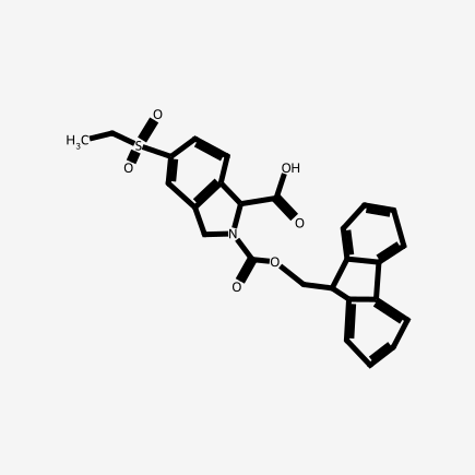 CCS(=O)(=O)c1ccc2c(c1)CN(C(=O)OCC1c3ccccc3-c3ccccc31)C2C(=O)O